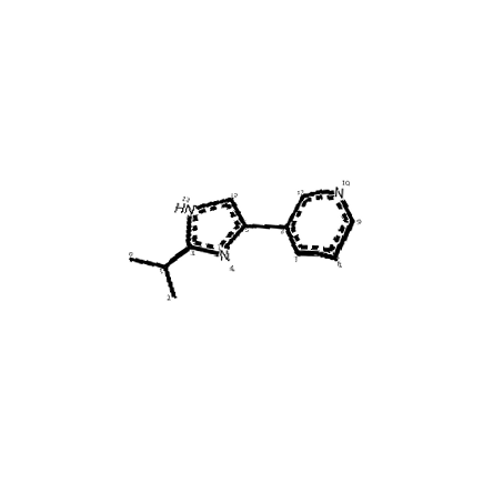 CC(C)c1nc(-c2cccnc2)c[nH]1